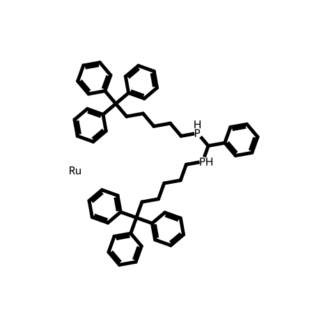 [Ru].c1ccc(C(PCCCCCC(c2ccccc2)(c2ccccc2)c2ccccc2)PCCCCCC(c2ccccc2)(c2ccccc2)c2ccccc2)cc1